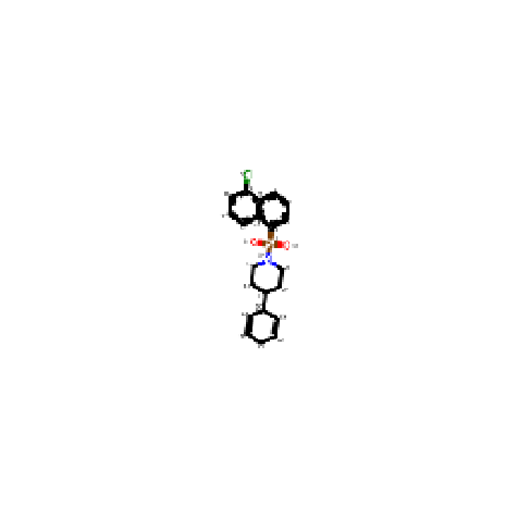 O=S(=O)(c1cccc2c(Cl)cccc12)N1CCC(C2C=CCC=C2)CC1